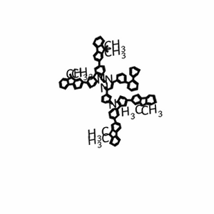 CC1(C)c2ccccc2-c2ccc(-c3ccc4c(c3)c3cc(-c5ccc6c(c5)C(C)(C)c5ccccc5-6)ccc3n4-c3cccc(-c4cc(-c5cccc(-c6ccccc6-c6ccccc6)c5)nc(-n5c6ccc(-c7ccc8c(c7)C(C)(C)c7ccccc7-8)cc6c6cc(-c7ccc8c(c7)C(C)(C)c7ccccc7-8)ccc65)n4)c3)cc21